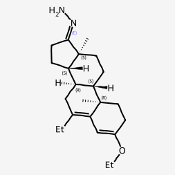 CCOC1=CC2=C(CC)C[C@@H]3[C@H](CC[C@]4(C)/C(=N/N)CC[C@@H]34)[C@@]2(C)CC1